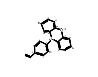 C=Cc1ccc(N2c3ccccc3Oc3ccccc32)cc1